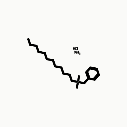 CCCCCCCCCCCC[N+](C)(C)Cc1ccccc1.Cl.N